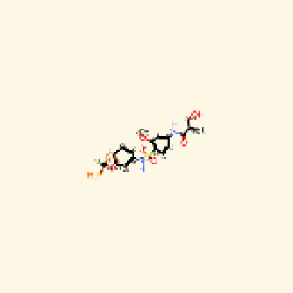 CCOc1cc(NC(=O)C(CC)CO)ccc1S(=O)(=O)Nc1cccc(OC(F)(P)P)c1